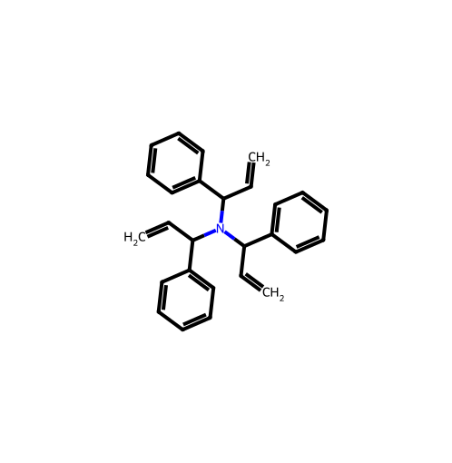 C=CC(c1ccccc1)N(C(C=C)c1ccccc1)C(C=C)c1ccccc1